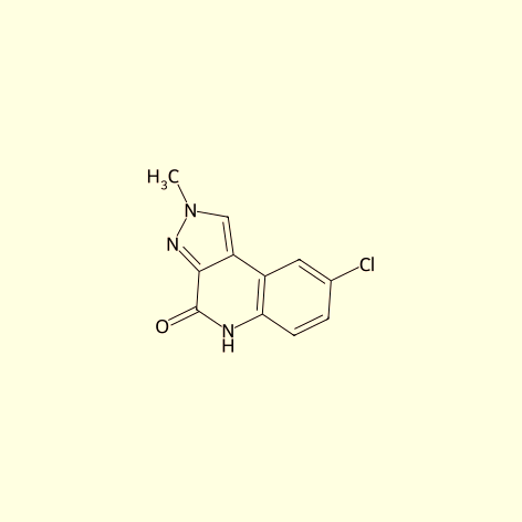 Cn1cc2c(n1)c(=O)[nH]c1ccc(Cl)cc12